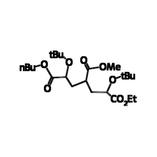 CCCCOC(=O)C(CC(CC(OC(C)(C)C)C(=O)OCC)C(=O)OC)OC(C)(C)C